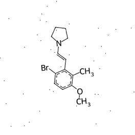 COc1ccc(Br)c(/C=C/N2CCCC2)c1C